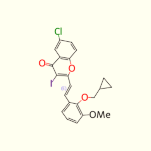 COc1cccc(/C=C/c2oc3ccc(Cl)cc3c(=O)c2I)c1OCC1CC1